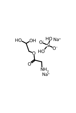 NCC(=O)OCC(O)O.[Na+].[Na+].[O-][Si]([O-])(O)O